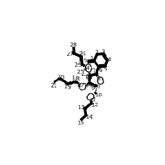 C=C1CC=CC=C1C1O[C@H](COCCCC)[C@@H](OCCCC)[C@@]1(C)OCCCC